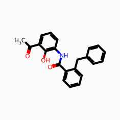 CC(=O)c1cccc(NC(=O)c2ccccc2Cc2ccccc2)c1O